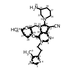 Cc1ncsc1CCn1cnc2c(C#N)c(N3CCCC(N)C3)n(Cc3ccccc3)c2c1=O.Cl